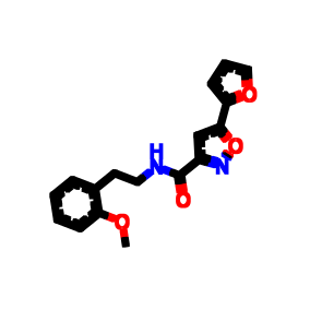 COc1ccccc1CCNC(=O)c1cc(-c2ccco2)on1